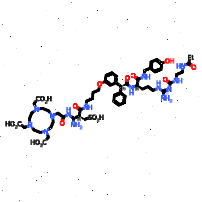 CCC(=O)NCCNC(=O)/N=C(/N)NCCC[C@@H](NC(=O)[C@H](c1ccccc1)c1cccc(OCCCCNC(=O)[C@H](CS(=O)(=O)O)C(N)NC(=O)CN2CCN(CC(=O)O)CCN(CC(=O)O)CCN(CC(=O)O)CC2)c1)C(=O)NCc1ccc(O)cc1